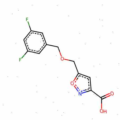 O=C(O)c1cc(COCc2cc(F)cc(F)c2)on1